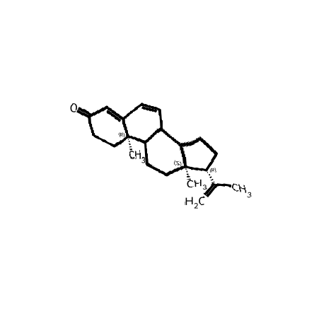 C=C(C)[C@H]1CCC2C3C=CC4=CC(=O)CC[C@]4(C)C3CC[C@@]21C